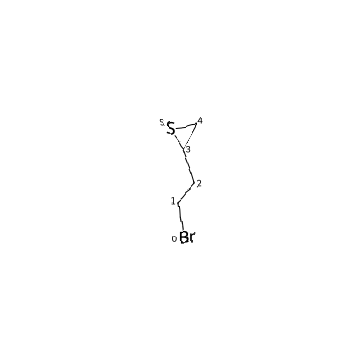 BrCCC1CS1